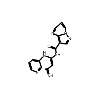 CC(=N)/C=C(/NC(=O)c1cnn2cccnc12)Nc1cccnc1